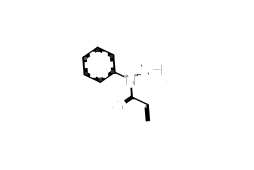 C=CC(=O)N(N)c1ccccc1